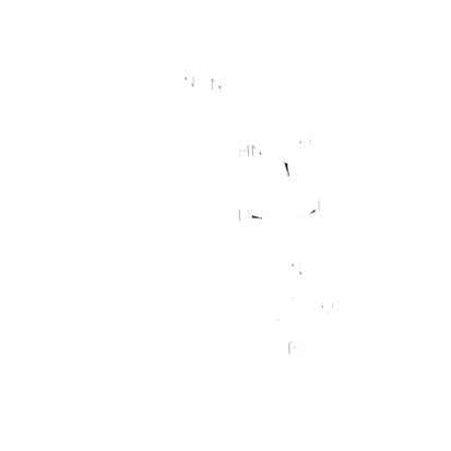 CC(NC(=O)[C@H]1[C@@H]2CN(C(=O)OC(C)(C)C)C[C@@H]21)c1nn(C)c2ccccc12